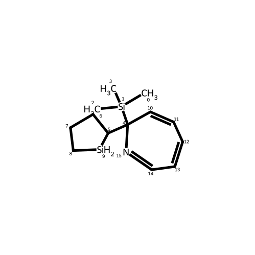 C[Si](C)(C)C1(C2CCC[SiH2]2)C=CC=CC=N1